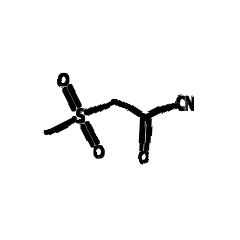 CS(=O)(=O)CC(=O)C#N